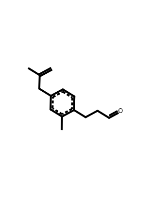 C=C(C)Cc1ccc(CCC=O)c(C)c1